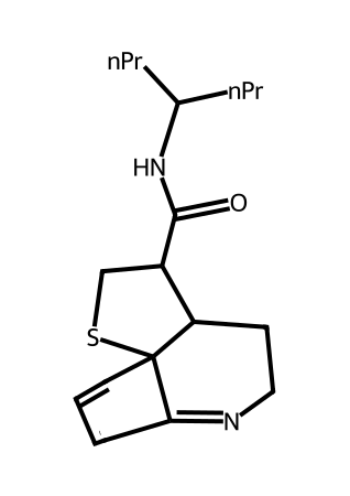 CCCC(CCC)NC(=O)C1CSC23C=CC=CC2=NCCC13